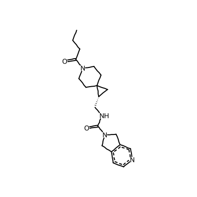 CCCC(=O)N1CCC2(CC1)C[C@@H]2CNC(=O)N1Cc2ccncc2C1